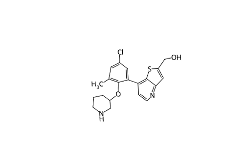 Cc1cc(Cl)cc(-c2ccnc3cc(CO)sc23)c1OC1CCCNC1